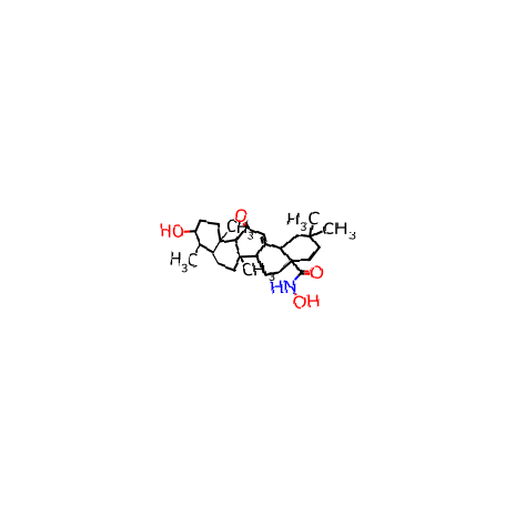 CC1C(O)CCC2(C)C1CCC1(C)C3CCC4(C(=O)NO)CCC(C)(C)CC4C3=CC(=O)C12